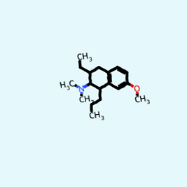 CCCC1c2cc(OC)ccc2CC(CC)C1N(C)C